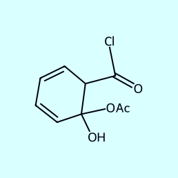 CC(=O)OC1(O)C=CC=CC1C(=O)Cl